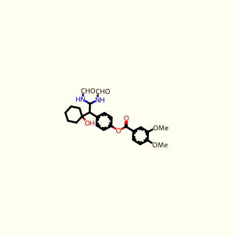 COc1ccc(C(=O)Oc2ccc(C(C(NC=O)NC=O)C3(O)CCCCC3)cc2)cc1OC